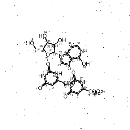 O=C([O-])c1cc(=O)[nH]c(=O)[nH]1.O=C([O-])c1cc(=O)[nH]c(=O)[nH]1.OC[C@H]1O[C@@H](n2cnc3c(O)ncnc32)[C@H](O)[C@@H]1O.[Mg+2]